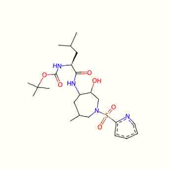 CC(C)C[C@H](NC(=O)OC(C)(C)C)C(=O)NC1CC(C)CN(S(=O)(=O)c2ccccn2)CC1O